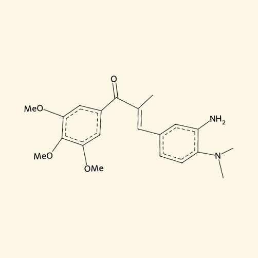 COc1cc(C(=O)C(C)=Cc2ccc(N(C)C)c(N)c2)cc(OC)c1OC